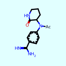 CC(=O)N(c1ccc(C(=N)N)cc1)C1CCCNC1=O